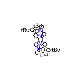 CC(C)(C)c1cc(-c2ccc3c4c5c6cccc(-n7c8ccccc8c8ccccc87)c6n6c7cc(-c8cc(C(C)(C)C)cc(C(C)(C)C)c8)ccc7c(c7c8cccc(-n9c%10ccccc%10c%10ccccc%109)c8n(c3c2)c47)c56)cc(C(C)(C)C)c1